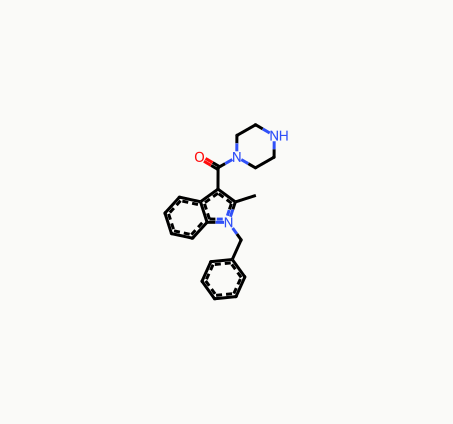 Cc1c(C(=O)N2CCNCC2)c2ccccc2n1Cc1ccccc1